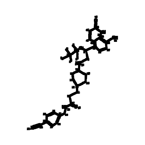 CC(C)(C)[Si](C)(C)O[C@H](CNC1CCN(CCC(=O)NCc2ccc(C#N)cc2)CC1)c1ccc(O)c2[nH]c(=O)ccc12